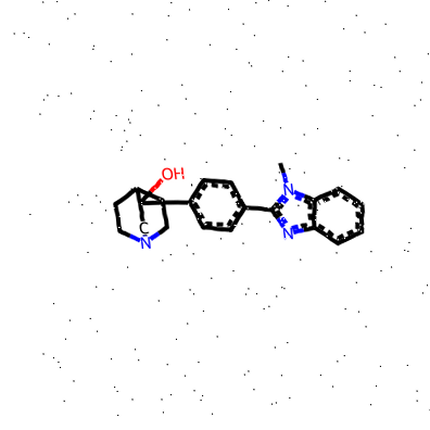 Cn1c(-c2ccc(C3(O)CN4CCC3CC4)cc2)nc2ccccc21